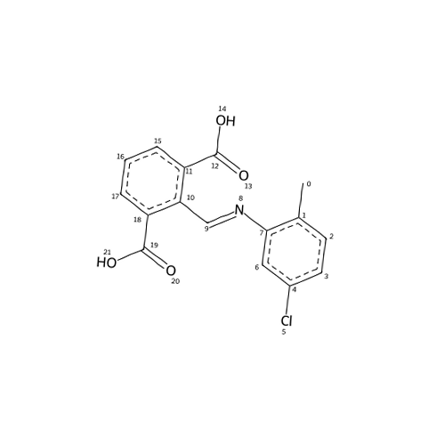 Cc1ccc(Cl)cc1/N=C/c1c(C(=O)O)cccc1C(=O)O